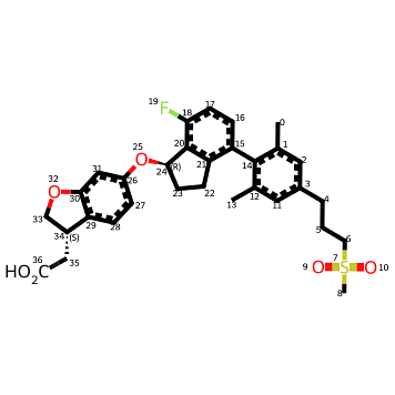 Cc1cc(CCCS(C)(=O)=O)cc(C)c1-c1ccc(F)c2c1CC[C@H]2Oc1ccc2c(c1)OC[C@H]2CC(=O)O